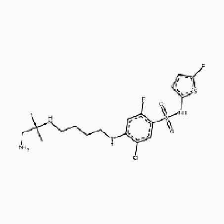 CC(C)(CN)NCCCCNc1cc(F)c(S(=O)(=O)Nc2ncc(F)s2)cc1Cl